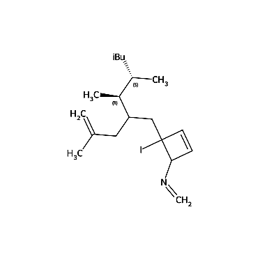 C=NC1C=CC1(I)CC(CC(=C)C)[C@@H](C)[C@@H](C)C(C)CC